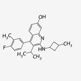 Cc1cc(-c2c(C(C)C)c(NC3CC(C)C3)nc3cc(O)ccc23)ccc1F